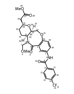 COCN1C(=O)c2cc(NC(=O)c3ccc(C(F)(F)F)cc3)ccc2OC[C@@H]2O[C@H](CC(=O)OC)CC[C@@H]21